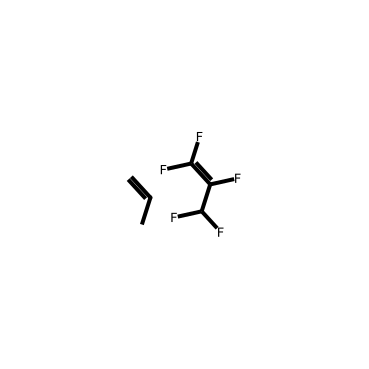 C=CC.FC(F)=C(F)C(F)F